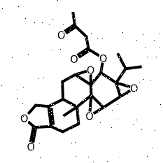 CC(=O)CC(=O)OC1C2(C(C)C)OC2C2OC23C2(C)CCC4=C(COC4=O)C2CC2OC213